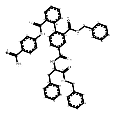 N=C(N)c1ccc(NC(=O)c2ccccc2-c2ccc(C(=O)NC(Cc3ccccc3)C(=O)OCc3ccccc3)cc2C(=O)OCc2ccccc2)cc1